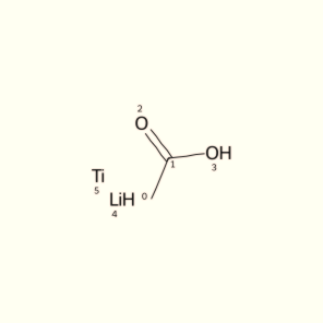 CC(=O)O.[LiH].[Ti]